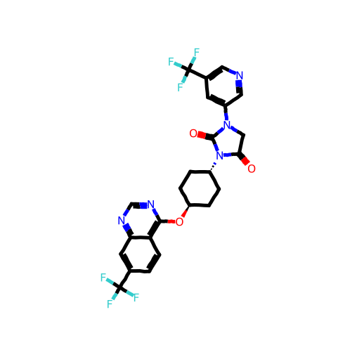 O=C1CN(c2cncc(C(F)(F)F)c2)C(=O)N1[C@H]1CC[C@H](Oc2ncnc3cc(C(F)(F)F)ccc23)CC1